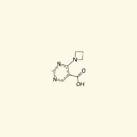 O=C(O)c1cn[c]nc1N1CCC1